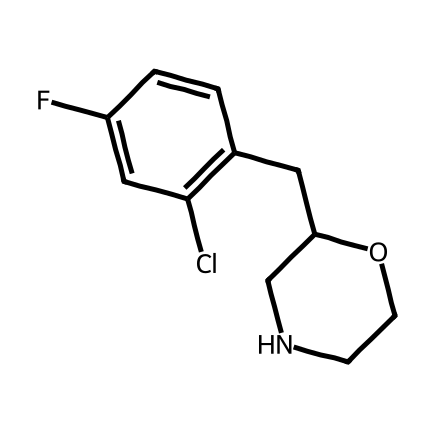 Fc1ccc(CC2CNCCO2)c(Cl)c1